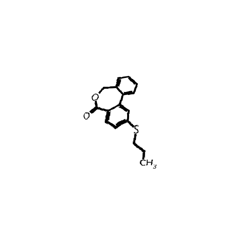 CCCSc1ccc2c(c1)-c1ccccc1COC2=O